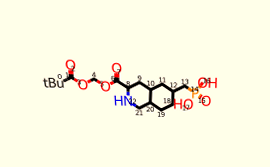 CC(C)(C)C(=O)OCOC(=O)C1CC2CC(CP(=O)(O)O)CCC2CN1